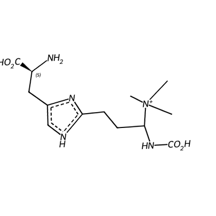 C[N+](C)(C)C(CCc1nc(C[C@H](N)C(=O)O)c[nH]1)NC(=O)O